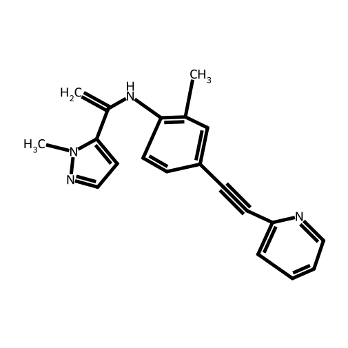 C=C(Nc1ccc(C#Cc2ccccn2)cc1C)c1ccnn1C